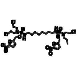 CCCN(CCCl)P(=O)(NCCCCCCCCNP(=O)(OCc1ccc([N+](=O)[O-])o1)N(CCCl)CCCl)OCc1ccc([N+](=O)[O-])o1